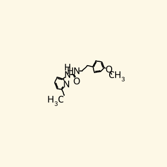 CCc1cccc(NC(=O)NCCc2ccc(OC)cc2)n1